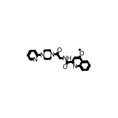 COc1cc(C(=O)NCC(=O)N2CCN(c3ccccn3)CC2)nc2ccccc12